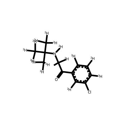 [2H]c1c([2H])c(Cl)c([2H])c(C(=O)C([2H])(C)N([2H])C(C([2H])([2H])[2H])(C([2H])([2H])[2H])C([2H])([2H])[2H])c1[2H]